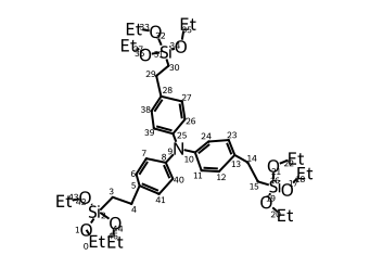 CCO[Si](CCc1ccc(N(c2ccc(CC[Si](OCC)(OCC)OCC)cc2)c2ccc(CC[Si](OCC)(OCC)OCC)cc2)cc1)(OCC)OCC